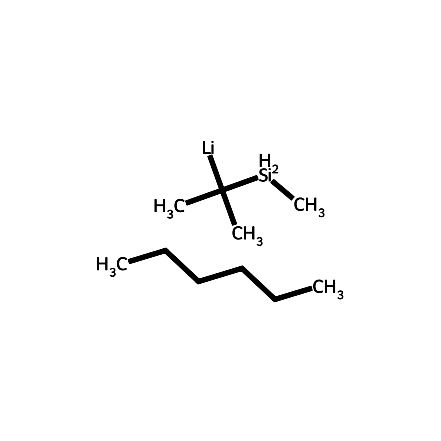 CCCCCC.[Li][C](C)(C)[SiH2]C